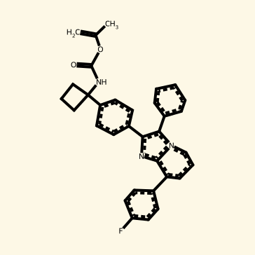 C=C(C)OC(=O)NC1(c2ccc(-c3nc4c(-c5ccc(F)cc5)cccn4c3-c3ccccc3)cc2)CCC1